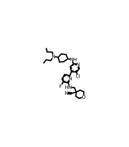 CCCN(CCC)C1CCC(Nc2cc(-c3ccc(F)c(NCC4(C#N)CCOCC4)n3)c(Cl)cn2)CC1